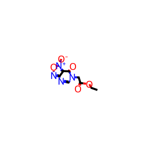 CCOC(=O)Cn1cnc2no[n+]([O-])c2c1=O